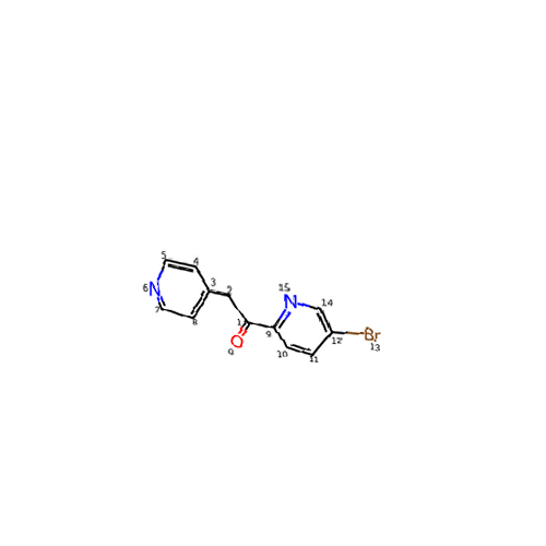 O=C(Cc1ccncc1)c1ccc(Br)cn1